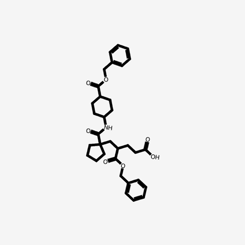 O=C(O)CCC(CC1(C(=O)NC2CCC(C(=O)OCc3ccccc3)CC2)CCCC1)C(=O)OCc1ccccc1